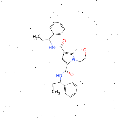 CCC(NC(=O)c1cc(C(=O)N[C@H](CC)c2ccccc2)c2n1CCOC2)c1ccccc1